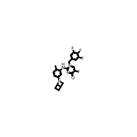 Cc1ccc(N2CC3CCC32)cc1Nc1nc(=O)c(F)cn1Cc1cc(F)c(F)c(F)c1